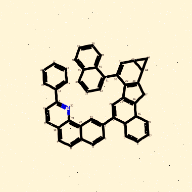 C1=CC2C(c3ccc4ccc5ccc(-c6ccccc6)nc5c4c3)=CC3=C(CC4=C3C(c3cccc5ccccc35)=CC3CC43)C2C=C1